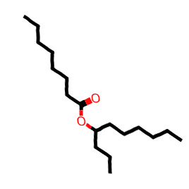 CCCCCCCC(=O)OC(CCC)CCCCCC